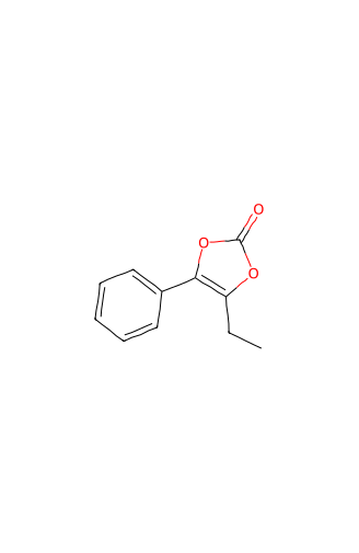 CCc1oc(=O)oc1-c1ccccc1